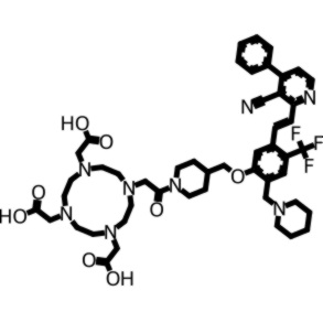 N#Cc1c(-c2ccccc2)ccnc1/C=C/c1cc(OCC2CCN(C(=O)CN3CCN(CC(=O)O)CCN(CC(=O)O)CCN(CC(=O)O)CC3)CC2)c(CN2CCCCC2)cc1C(F)(F)F